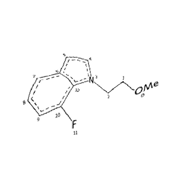 COCCn1ccc2cccc(F)c21